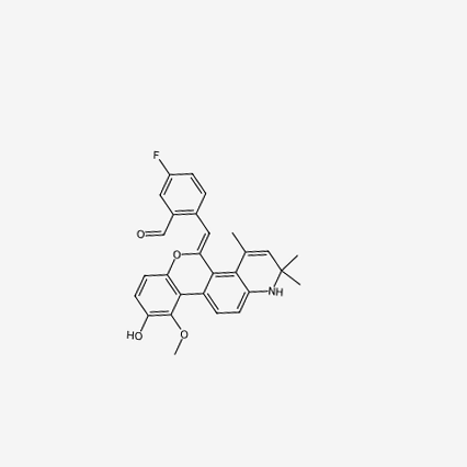 COc1c(O)ccc2c1-c1ccc3c(c1/C(=C/c1ccc(F)cc1C=O)O2)C(C)=CC(C)(C)N3